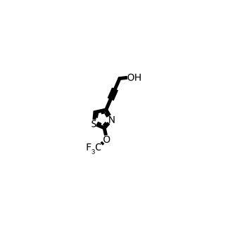 OCC#Cc1csc(OC(F)(F)F)n1